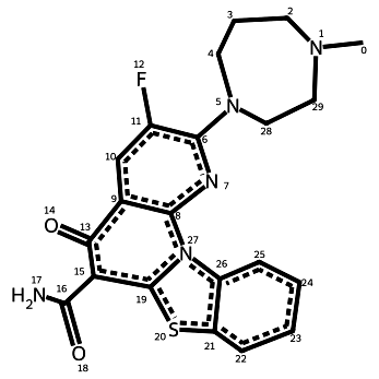 CN1CCCN(c2nc3c(cc2F)c(=O)c(C(N)=O)c2sc4ccccc4n23)CC1